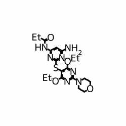 CCOc1nc(N2CCOCC2)nc(OCC)c1Sc1nc(N)cc(NC(=O)CC)n1